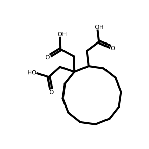 O=C(O)CC1CCCCCCCCCCC1(CC(=O)O)CC(=O)O